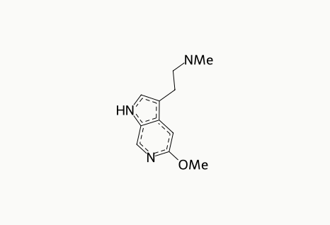 CNCCc1c[nH]c2cnc(OC)cc12